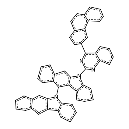 c1ccc2cc3c(cc2c1)c1ccccc1n3-c1c2ccccc2cc2c1c1ccccc1n2-c1nc(-c2ccc3ccc4ccccc4c3c2)c2ccccc2n1